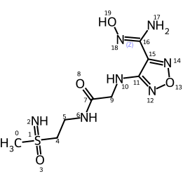 CS(=N)(=O)CCNC(=O)CNc1nonc1/C(N)=N/O